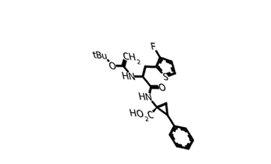 C=C(NC(Cc1sccc1F)C(=O)N[C@]1(C(=O)O)CC1c1ccccc1)OC(C)(C)C